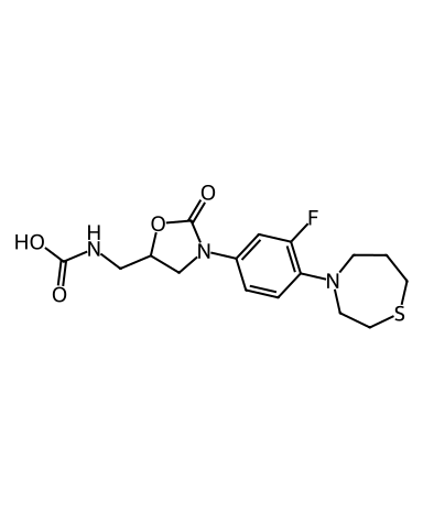 O=C(O)NCC1CN(c2ccc(N3CCCSCC3)c(F)c2)C(=O)O1